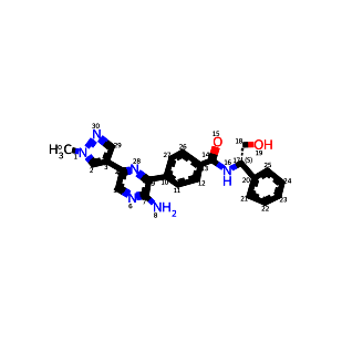 Cn1cc(-c2cnc(N)c(-c3ccc(C(=O)N[C@H](CO)c4ccccc4)cc3)n2)cn1